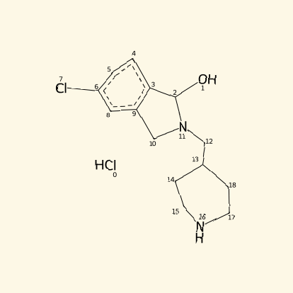 Cl.OC1c2ccc(Cl)cc2CN1CC1CCNCC1